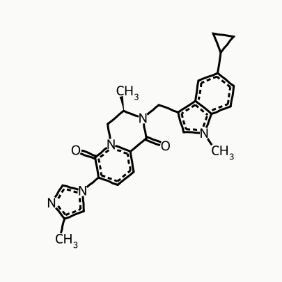 Cc1cn(-c2ccc3n(c2=O)C[C@@H](C)N(Cc2cn(C)c4ccc(C5CC5)cc24)C3=O)cn1